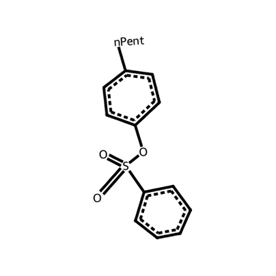 CCCCCc1ccc(OS(=O)(=O)c2ccccc2)cc1